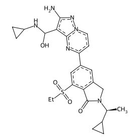 CCS(=O)(=O)c1cc(-c2ccn3nc(N)c(C(O)NC4CC4)c3n2)cc2c1C(=O)N([C@@H](C)C1CC1)C2